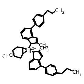 CCCc1ccc(-c2cccc3c2C=C(C)[CH]3[Hf+2]2([CH]3C(C)=Cc4c(-c5ccc(CCC)cc5)cccc43)[CH]3CCCC[CH]32)cc1.[Cl-].[Cl-]